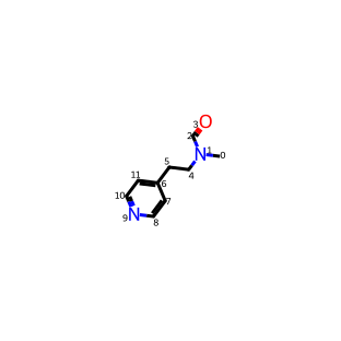 CN(C=O)CCc1ccncc1